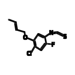 CC=CCOc1cc(N=C=S)c(F)cc1Cl